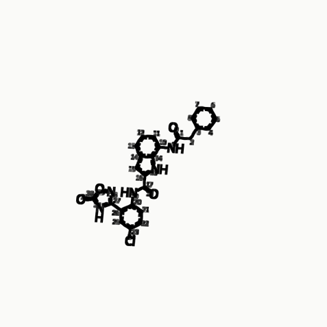 O=C(Cc1ccccc1)Nc1cccc2cc(C(=O)Nc3ccc(Cl)cc3-c3noc(=O)[nH]3)[nH]c12